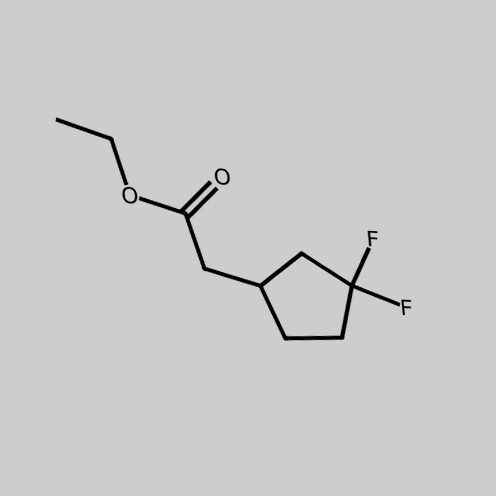 CCOC(=O)CC1CCC(F)(F)C1